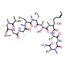 C/C=C\C[C@@H](C)[C@H](O)C(C(=O)N[C@H](CC)C(=O)N(C)CC(=O)N(C)[C@H](C(N)=O)C(C)C)N(C)C(=O)[C@@H](C(C)C)N(C)C(=O)[C@@H](CC(C)C)N(C)C(=O)[C@H](CC(C)C)N(C)C(=O)[C@H](C)NC(=O)[C@H](CC(C)C)NC(=O)[C@H](C)N(C)C(=O)[C@@H](C)C(C)C